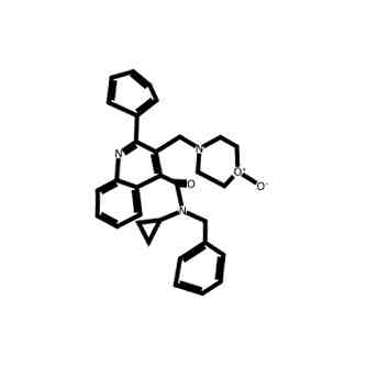 O=C(c1c(CN2CC[O+]([O-])CC2)c(-c2ccccc2)nc2ccccc12)N(Cc1ccccc1)C1CC1